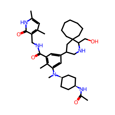 CC(=O)N[C@H]1CC[C@@H](N(C)c2cc(C3CNC(CO)C4(CCCCCCC4)C3)cc(C(=O)NCc3c(C)cc(C)[nH]c3=O)c2C)CC1